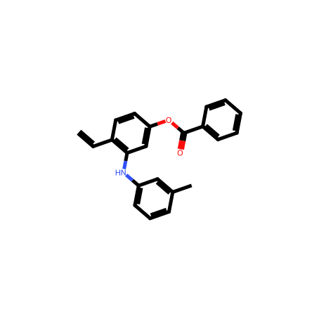 C=Cc1ccc(OC(=O)c2ccccc2)cc1Nc1cccc(C)c1